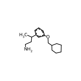 CC(CCN)c1cccc(OCC2CCCCC2)c1